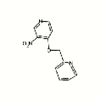 O=[N+]([O-])c1cnccc1OCc1ccccn1